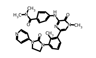 Cc1c(-c2cn(C)c(=O)c(Nc3ccc(C(=O)N(C)C)cc3)n2)cccc1N1CCN(c2ccncc2)C1=O